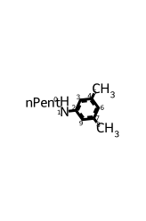 CCCCCNc1cc(C)cc(C)c1